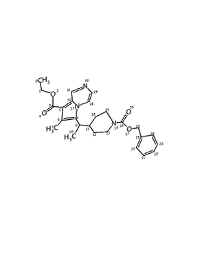 CCOC(=O)c1c(C)c(C(C)C2CCN(C(=O)OCc3ccccc3)CC2)n2ccncc12